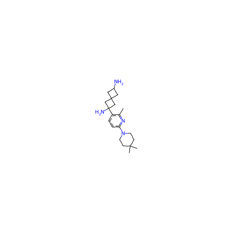 Cc1nc(N2CCC(C)(C)CC2)ccc1C1(N)CC2(CC(N)C2)C1